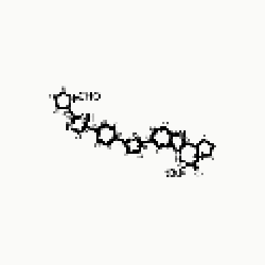 CC(C)(C)OC(=O)N1CCCC1c1nc2ccc(-c3ccc(-c4ccc(-c5cnc(C6CCCN6C=O)[nH]5)cc4)s3)cc2[nH]1